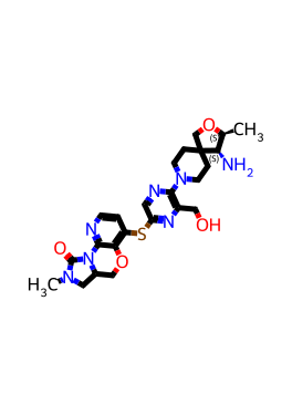 C[C@@H]1OCC2(CCN(c3ncc(Sc4ccnc5c4OCC4CN(C)C(=O)N54)nc3CO)CC2)[C@@H]1N